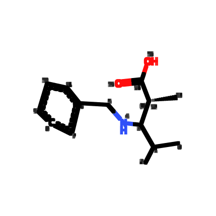 CC(C)C(NCc1ccccc1)[C@@H](C)C(=O)O